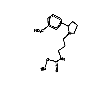 CC(C)(C)OC(=O)NCCCN1CCCC1c1cccc(C(=O)O)c1